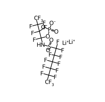 O=P([O-])([O-])OC(F)(NS(=O)(=O)C(F)(F)C(F)(F)C(F)(F)C(F)(F)C(F)(F)C(F)(F)F)C(F)(F)C(F)(F)C(F)(F)F.[Li+].[Li+]